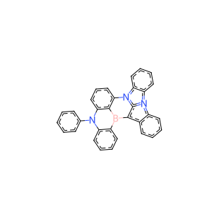 c1ccc(N2c3ccccc3B3c4c2cccc4-n2c4ccccc4n4c5ccccc5c3c24)cc1